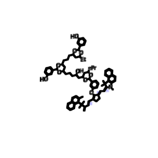 C=C(/C=C/C1=C(Oc2cccc(C3OC(CCC)CC(CC(O)CCCC4CC(CCCC5CC(CC)OC(c6cccc(O)c6)O5)OC(c5cccc(O)c5)O4)O3)c2)C(=C/C=C2/N(C)c3ccc4ccccc4c3C2(C)C)/CC1)C(C)(C)c1c(C)ccc2ccccc12